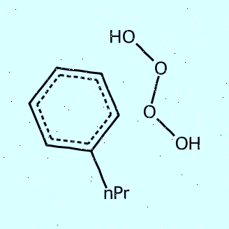 CCCc1ccccc1.OOOO